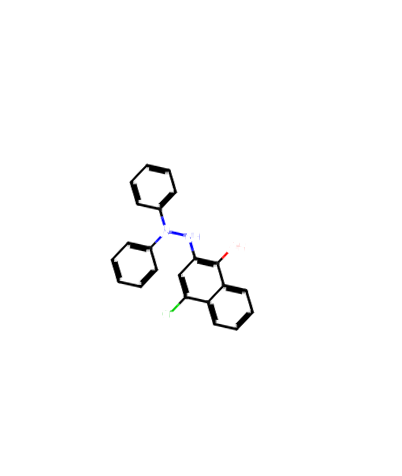 Oc1c(NN(c2ccccc2)c2ccccc2)cc(Cl)c2ccccc12